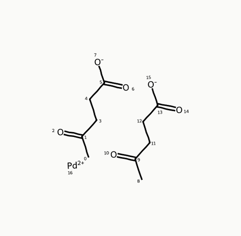 CC(=O)CCC(=O)[O-].CC(=O)CCC(=O)[O-].[Pd+2]